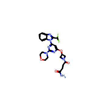 NC(=O)CCC(=O)N1CC(Oc2cc(-n3c(C(F)F)nc4ccccc43)nc(N3CCOCC3)n2)C1